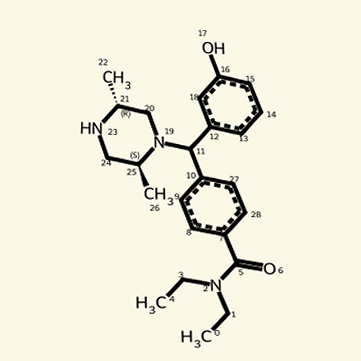 CCN(CC)C(=O)c1ccc(C(c2cccc(O)c2)N2C[C@@H](C)NC[C@@H]2C)cc1